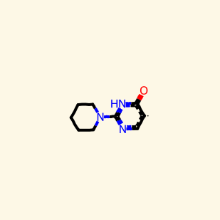 O=c1[c]cnc(N2CCCCC2)[nH]1